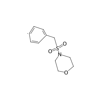 O=S(=O)(Cc1cc[c]cc1)N1CCOCC1